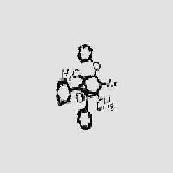 CC(=O)C1C(Oc2ccccc2)C2(C)C(=O)C1(C)C(c1ccccc1)=C2c1ccccc1